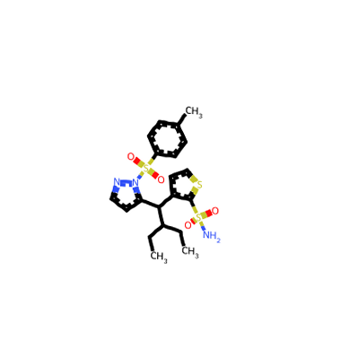 CCC(CC)C(c1ccsc1S(N)(=O)=O)c1ccnn1S(=O)(=O)c1ccc(C)cc1